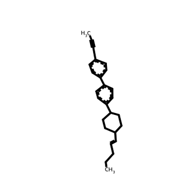 CC#Cc1ccc(-c2ccc(C3CCC(/C=C/CCC)CC3)cc2)cc1